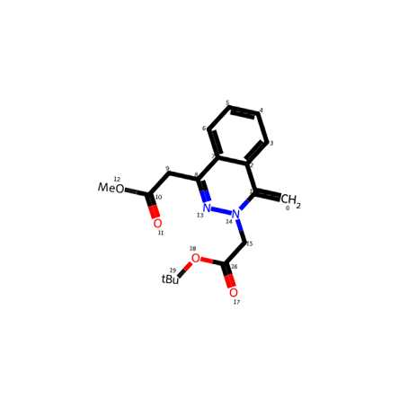 C=C1c2ccccc2C(CC(=O)OC)=NN1CC(=O)OC(C)(C)C